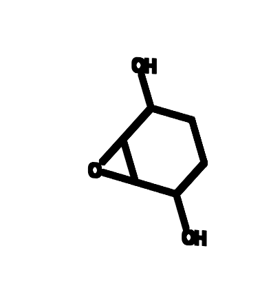 OC1CCC(O)C2OC12